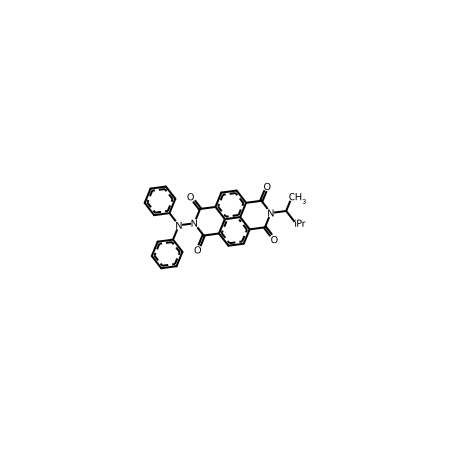 CC(C)C(C)N1C(=O)c2ccc3c4c(ccc(c24)C1=O)C(=O)N(N(c1ccccc1)c1ccccc1)C3=O